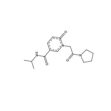 CC(C)NC(=O)c1ccc(=O)n(CC(=O)N2CCCC2)c1